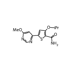 COc1cc(-c2cc(OC(C)C)c(C(N)=O)s2)ncn1